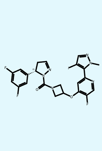 Cn1ncc(I)c1-c1cc(OC2CN(C(=O)N3N=CC[C@H]3c3cc(F)cc(F)c3)C2)c(F)cn1